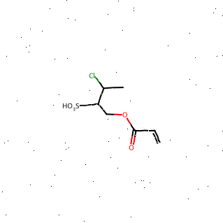 C=CC(=O)OCC(C(C)Cl)S(=O)(=O)O